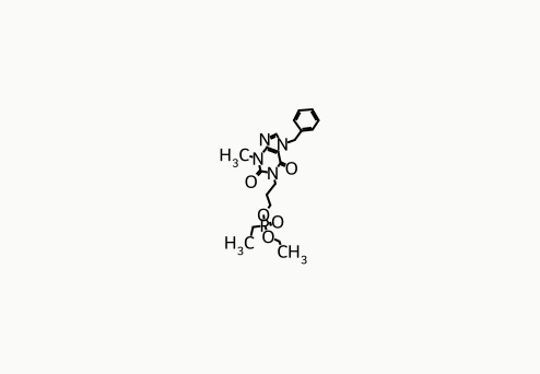 CCOP(=O)(CC)OCCCn1c(=O)c2c(ncn2Cc2ccccc2)n(C)c1=O